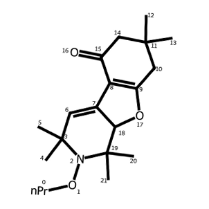 CCCON1C(C)(C)C=C2C3=C(CC(C)(C)CC3=O)OC2C1(C)C